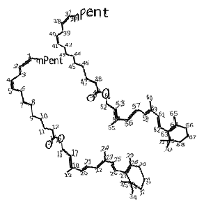 CCCCC/C=C\C/C=C\CCCCCCCC(=O)OCC=C(C)C=CC=C(C)C=CC1=C(C)CCCC1(C)C.CCCCC/C=C\C/C=C\CCCCCCCC(=O)OCC=C(C)C=CC=C(C)C=CC1=C(C)CCCC1(C)C